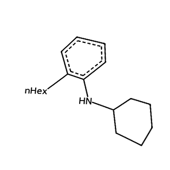 CCCCCCc1ccccc1NC1CCCCC1